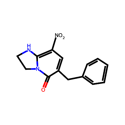 O=c1c(Cc2ccccc2)cc([N+](=O)[O-])c2n1CCN2